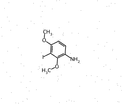 COc1ccc(N)c(OC)c1I